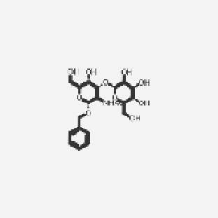 CC(=O)NC1[C@H](OCc2ccccc2)OC(CO)[C@@H](O)[C@@H]1O[C@@H]1OC(CO)[C@H](O)[C@H](O)C1O